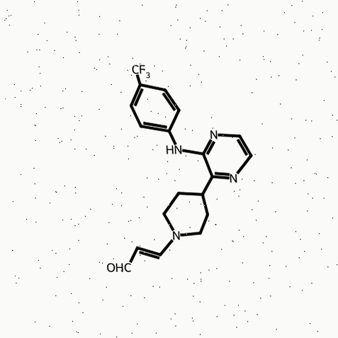 O=CC=CN1CCC(c2nccnc2Nc2ccc(C(F)(F)F)cc2)CC1